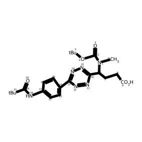 CN(C(=O)OC(C)(C)C)C(CCC(=O)O)c1nnc(-c2ccc(NC(=O)C(C)(C)C)cc2)nn1